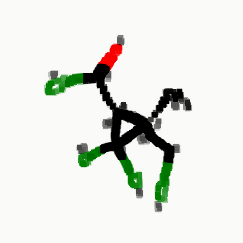 C[C@@]1(CCl)[C@@H](C(=O)Cl)C1(Cl)Cl